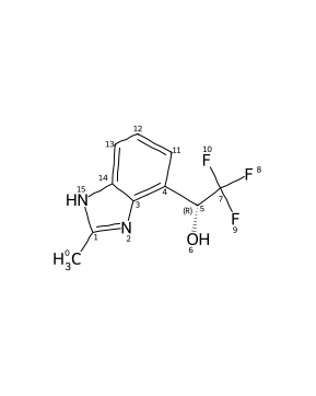 Cc1nc2c([C@@H](O)C(F)(F)F)cccc2[nH]1